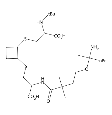 CCCC(C)(N)OCCC(C)(C)C(=O)NC(CSC1CCC1SCC(NC(C)(C)C)C(=O)O)C(=O)O